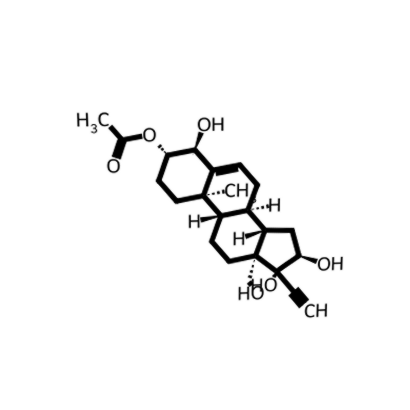 C#C[C@]1(O)[C@H](O)C[C@H]2[C@@H]3CC=C4[C@H](O)[C@@H](OC(C)=O)CC[C@]4(C)[C@H]3CC[C@@]21CO